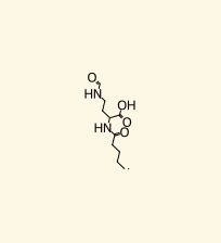 [CH2]CCCC(=O)NC(CCNC=O)C(=O)O